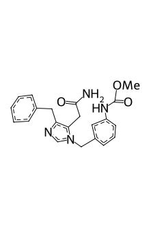 COC(=O)Nc1cccc(Cn2cnc(Cc3ccccc3)c2CC(N)=O)c1